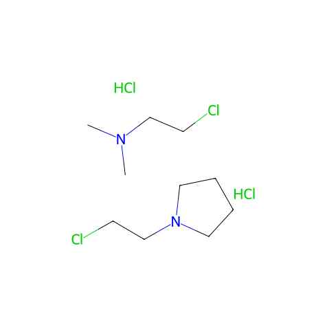 CN(C)CCCl.Cl.Cl.ClCCN1CCCC1